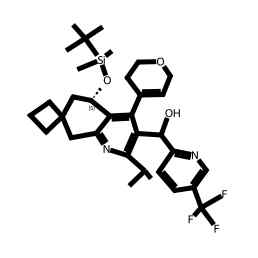 CC(C)c1nc2c(c(C3=CCOCC3)c1C(O)c1ccc(C(F)(F)F)cn1)[C@@H](O[Si](C)(C)C(C)(C)C)CC1(CCC1)C2